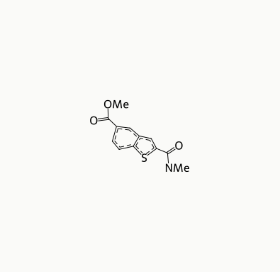 CNC(=O)c1cc2cc(C(=O)OC)ccc2s1